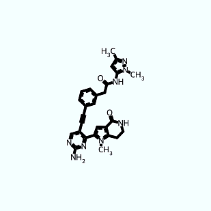 Cc1cc(NC(=O)Cc2cccc(C#Cc3cnc(N)nc3-c3cc4c(n3C)CCNC4=O)c2)n(C)n1